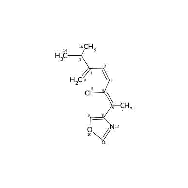 C=C(/C=C\C(Cl)=C(/C)c1cocn1)C(C)C